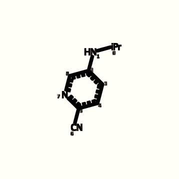 CC(C)Nc1ccc(C#N)nc1